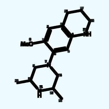 COc1cc2c(cc1N1CC(C)NC(C)C1)NCCC2